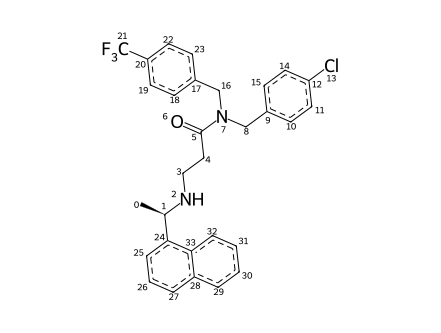 C[C@@H](NCCC(=O)N(Cc1ccc(Cl)cc1)Cc1ccc(C(F)(F)F)cc1)c1cccc2ccccc12